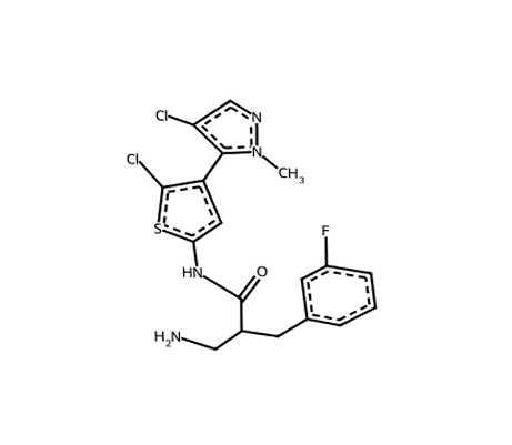 Cn1ncc(Cl)c1-c1cc(NC(=O)C(CN)Cc2cccc(F)c2)sc1Cl